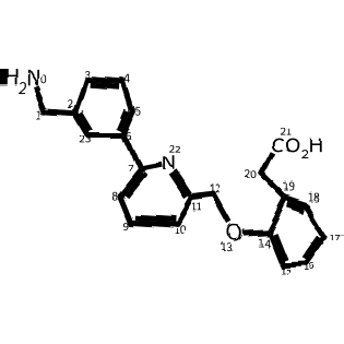 NCc1cccc(-c2cccc(COc3ccccc3CC(=O)O)n2)c1